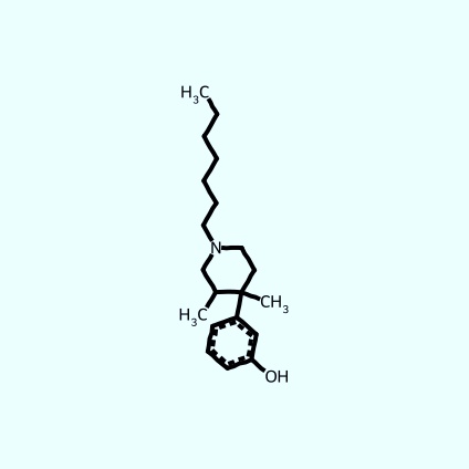 CCCCCCCN1CCC(C)(c2cccc(O)c2)C(C)C1